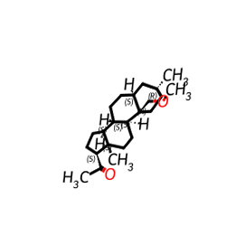 COC[C@]12CC[C@@H](C)C[C@@H]1CC[C@H]1[C@@H]3CC[C@H](C(C)=O)[C@@]3(C)CC[C@@H]12